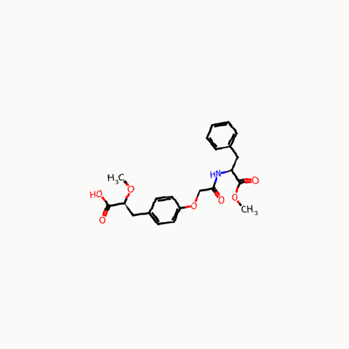 COC(=O)C(Cc1ccccc1)NC(=O)COc1ccc(C[C@H](OC)C(=O)O)cc1